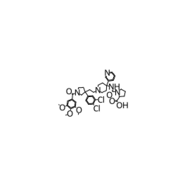 COc1cc(C(=O)N2CCC(CCN3CCC(NC(=O)N4CCCC4C(=O)O)(c4cccnc4)CC3)(c3ccc(Cl)c(Cl)c3)C2)cc(OC)c1OC